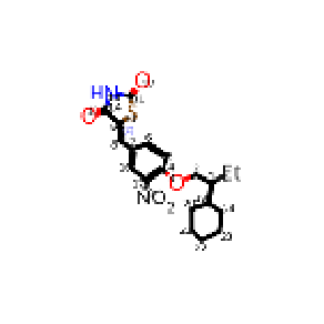 CCC(COc1ccc(/C=C2\SC(=O)NC2=O)cc1[N+](=O)[O-])C1CCCCC1